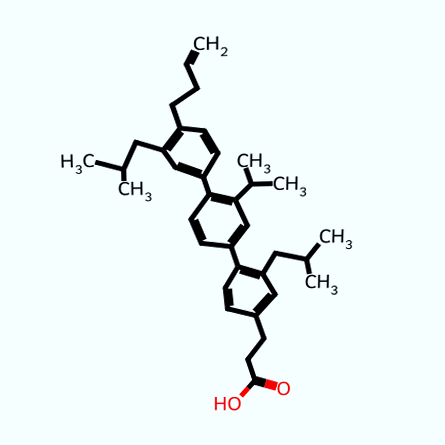 C=CCCc1ccc(-c2ccc(-c3ccc(CCC(=O)O)cc3CC(C)C)cc2C(C)C)cc1CC(C)C